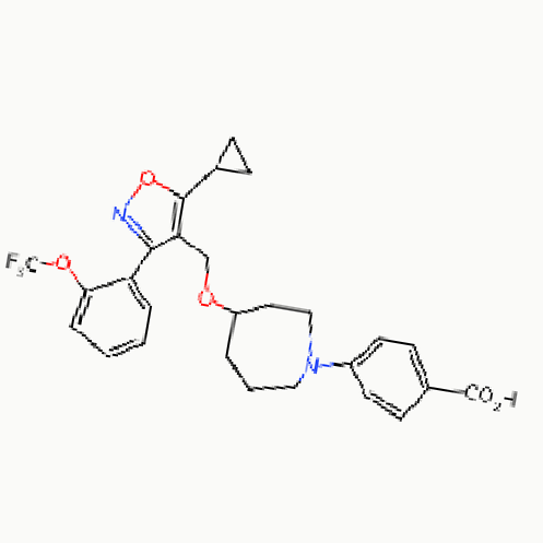 O=C(O)c1ccc(N2CCCC(OCc3c(-c4ccccc4OC(F)(F)F)noc3C3CC3)CC2)cc1